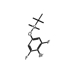 CC(C)(C)[Si](C)(C)Oc1cc(F)c(Br)c(F)c1